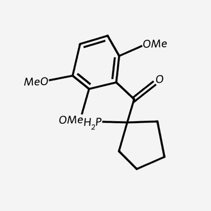 COc1ccc(OC)c(C(=O)C2(P)CCCC2)c1OC